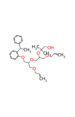 C=CCOCC(COc1ccccc1C(C)c1ccccc1)OCC(COCC=C)OC(C)(C)CO